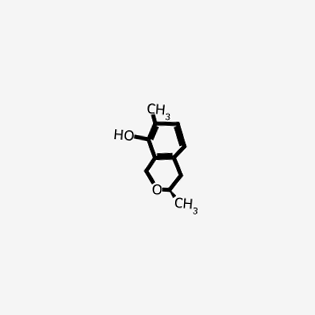 Cc1ccc2c(c1O)CO[C@H](C)C2